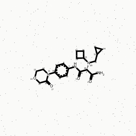 NC(=O)[C@H](C(=O)Nc1ccc(N2CCOCC2=O)cc1)N(CC1CC1)C1CCC1